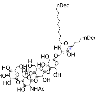 CCCCCCCCCCCCC/C=C/[C@@H](O)[C@H](CO[C@@H]1OC(CO)[C@@H](O[C@@H]2OC(CO)[C@H](O)[C@H](O[C@@H]3OC(CO)[C@@H](O[C@@H]4OC(CO)[C@H](O)[C@H](O)C4O)[C@H](O)C3NC(C)=O)C2O)[C@H](O)C1O)NC(=O)CCCCCCCCCCCCCCCCCCC